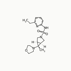 CCc1cccc(NS(=O)(=O)N2C[C@@H]3[C@H](C2)[C@@]3(C)N2CCOCC2)n1